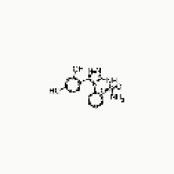 NS(=O)(=O)Nc1nnc(-c2ccc(O)cc2O)n1-c1ccccc1